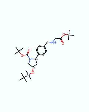 CC(C)(C)OC(=O)CNCc1ccc([C@H]2C[C@@H](O[Si](C)(C)C(C)(C)C)CN2C(=O)OC(C)(C)C)cc1